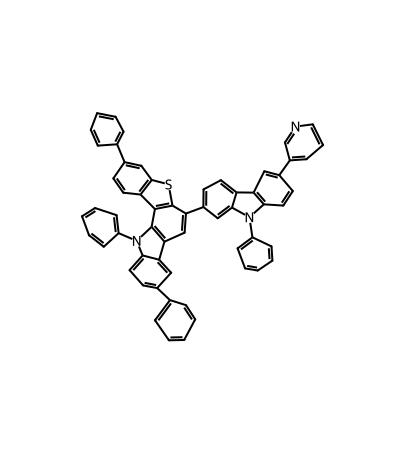 c1ccc(-c2ccc3c(c2)sc2c(-c4ccc5c6cc(-c7cccnc7)ccc6n(-c6ccccc6)c5c4)cc4c5cc(-c6ccccc6)ccc5n(-c5ccccc5)c4c23)cc1